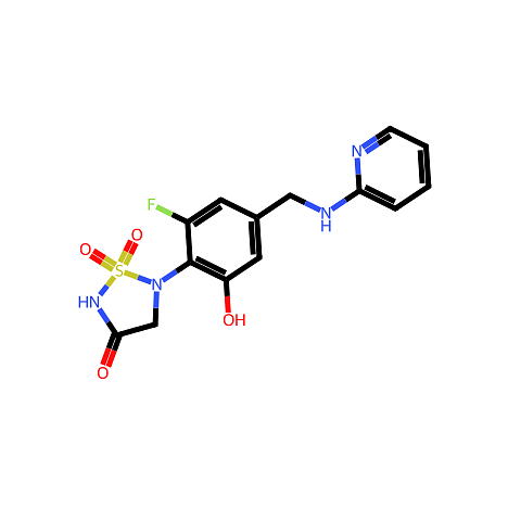 O=C1CN(c2c(O)cc(CNc3ccccn3)cc2F)S(=O)(=O)N1